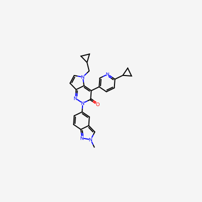 Cn1cc2cc(-n3nc4ccn(CC5CC5)c4c(-c4ccc(C5CC5)nc4)c3=O)ccc2n1